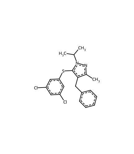 Cc1nn(C(C)C)c(Sc2cc(Cl)cc(Cl)c2)c1Cc1ccccc1